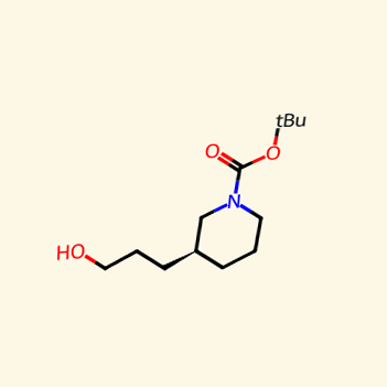 CC(C)(C)OC(=O)N1CCC[C@@H](CCCO)C1